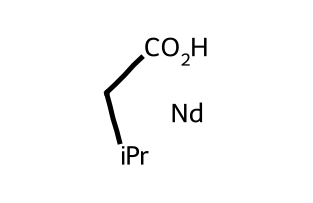 CC(C)CC(=O)O.[Nd]